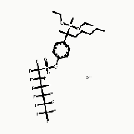 CCCCCC(C)(c1ccc(OS(=O)(=O)C(F)(F)C(F)(F)C(F)(F)C(F)(F)C(F)(F)C(F)(F)F)cc1)[N+](C)(OCC)OCC.[Br-]